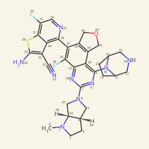 CN1CC[C@H]2CN(c3nc(N4C5CCC4CNC5)c4c5c(c(-c6ncc(F)c7sc(N)c(C#N)c67)c(F)c4n3)COC5)C[C@H]21